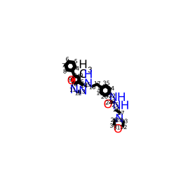 Cc1c(-c2ccccc2)oc2ncnc(NCCc3ccc(NC(=O)NCCN4CCOCC4)cc3)c12